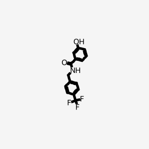 O=C(NCc1ccc(C(F)(F)F)cc1)c1cccc(O)c1